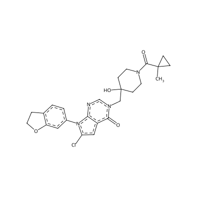 CC1(C(=O)N2CCC(O)(Cn3cnc4c(cc(Cl)n4-c4ccc5c(c4)OCC5)c3=O)CC2)CC1